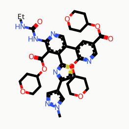 CCNC(=O)Nc1ncc(-c2cc(C(=O)OC3CCOCC3)cnc2OC2CCOCC2)c(-c2nc(-c3cnn(C)c3)cs2)c1C(=O)OC1CCOCC1